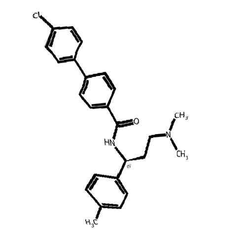 Cc1ccc([C@H](CCN(C)C)NC(=O)c2ccc(-c3ccc(Cl)cc3)cc2)cc1